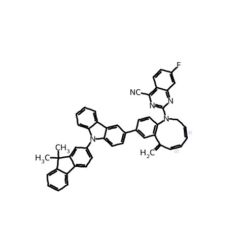 C=C1/C=C\C=C/CN(c2nc(C#N)c3ccc(F)cc3n2)c2ccc(-c3ccc4c(c3)c3ccccc3n4-c3ccc4c(c3)C(C)(C)c3ccccc3-4)cc21